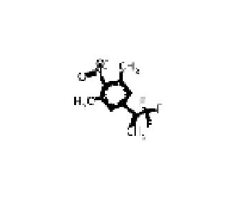 C=C(c1cc(C)c([N+](=O)[O-])c(C)c1)C(F)(F)F